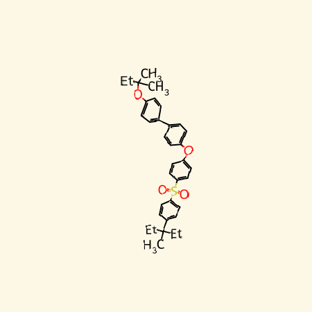 CCC(C)(C)Oc1ccc(-c2ccc(Oc3ccc(S(=O)(=O)c4ccc(C(C)(CC)CC)cc4)cc3)cc2)cc1